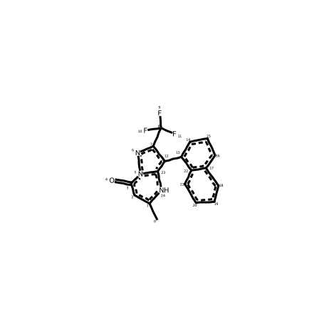 Cc1cc(=O)n2nc(C(F)(F)F)c(-c3cccc4ccccc34)c2[nH]1